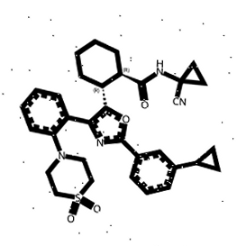 N#CC1(NC(=O)[C@@H]2CCCC[C@H]2c2oc(-c3cccc(C4CC4)c3)nc2-c2ccccc2N2CCS(=O)(=O)CC2)CC1